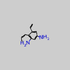 C=Cc1cc(N)cc(N)c1/C=C\C